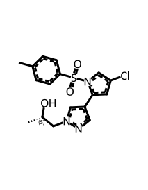 Cc1ccc(S(=O)(=O)n2cc(Cl)cc2-c2cnn(C[C@H](C)O)c2)cc1